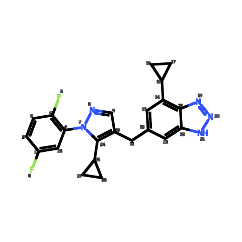 Fc1ccc(F)c(-n2ncc(Cc3cc(C4CC4)c4nn[nH]c4c3)c2C2CC2)c1